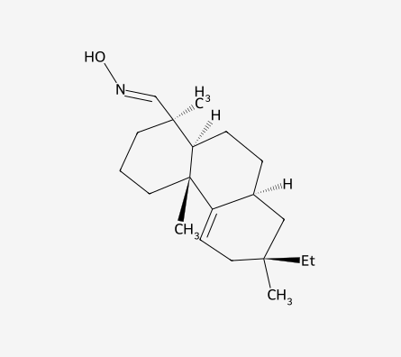 CC[C@@]1(C)CC=C2[C@@H](CC[C@H]3[C@@]2(C)CCC[C@@]3(C)/C=N/O)C1